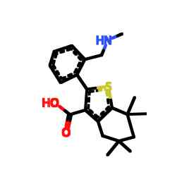 CNCc1ccccc1-c1sc2c(c1C(=O)O)CC(C)(C)CC2(C)C